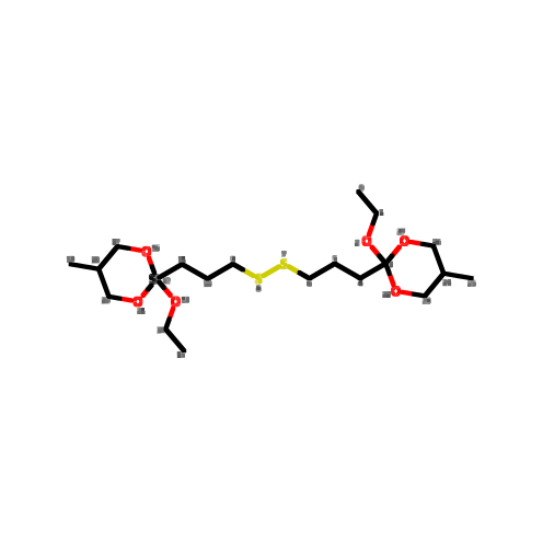 CCOC1(CCCSSCCC[Si]2(OCC)OCC(C)CO2)OCC(C)CO1